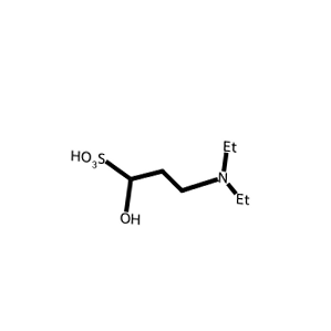 CCN(CC)CCC(O)S(=O)(=O)O